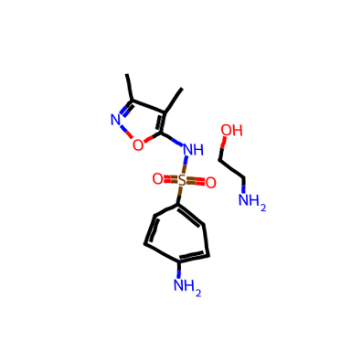 Cc1noc(NS(=O)(=O)c2ccc(N)cc2)c1C.NCCO